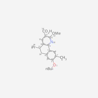 CCCCOc1cc2c(cc1C)-c1nc(OC)c(C(=O)O)cc1C(C(C)C)C2